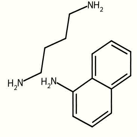 NCCCCN.Nc1cccc2ccccc12